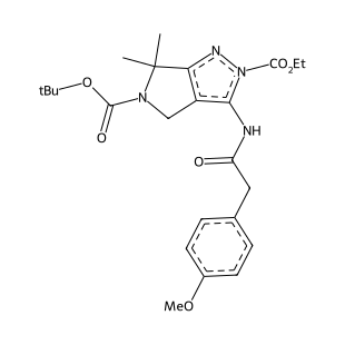 CCOC(=O)n1nc2c(c1NC(=O)Cc1ccc(OC)cc1)CN(C(=O)OC(C)(C)C)C2(C)C